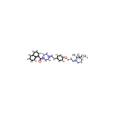 CC1(C)CCCN(CCCOc2ccc(CCN3CCN(C(=O)c4cccc5ccccc45)CC3)cc2)C1